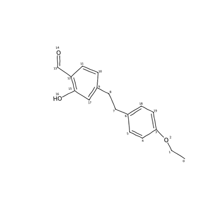 CCOc1ccc(CCc2ccc(C=O)c(O)c2)cc1